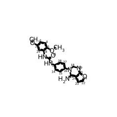 COc1ccc(OC)c(NC(=O)Nc2ccc(N3CN=c4occc4=C3N)cc2)c1